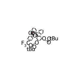 CC(C)(C)OC(=O)COc1cc(OCC(=O)OC(C)(C)C)cc(S(OS(=O)(=O)c2ccc(C(F)(F)F)cc2)(c2ccccc2)c2ccccc2)c1